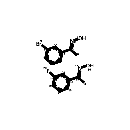 CC(=NO)c1cccc(Br)c1.CC(=NO)c1cccc(F)c1